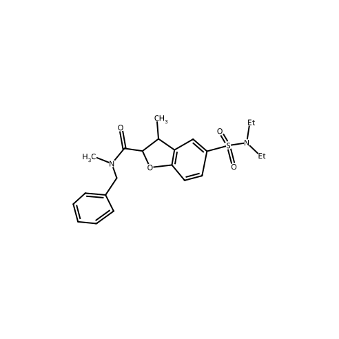 CCN(CC)S(=O)(=O)c1ccc2c(c1)C(C)C(C(=O)N(C)Cc1ccccc1)O2